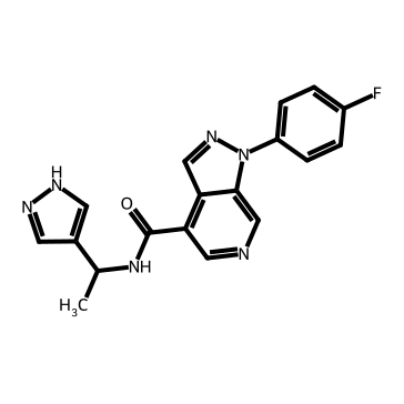 CC(NC(=O)c1cncc2c1cnn2-c1ccc(F)cc1)c1cn[nH]c1